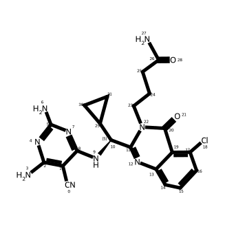 N#Cc1c(N)nc(N)nc1N[C@H](c1nc2cccc(Cl)c2c(=O)n1CCCC(N)=O)C1CC1